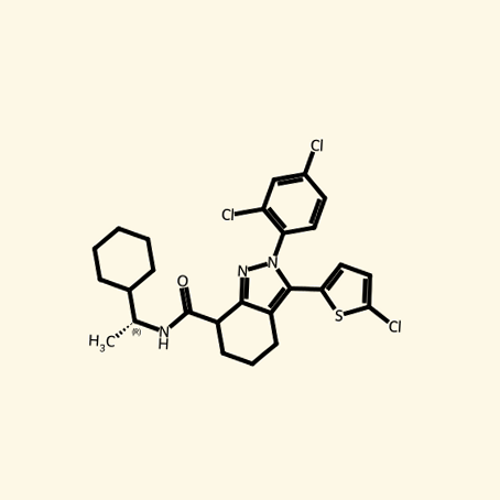 C[C@@H](NC(=O)C1CCCc2c1nn(-c1ccc(Cl)cc1Cl)c2-c1ccc(Cl)s1)C1CCCCC1